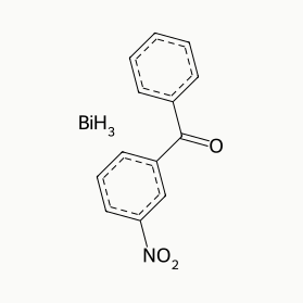 O=C(c1ccccc1)c1cccc([N+](=O)[O-])c1.[BiH3]